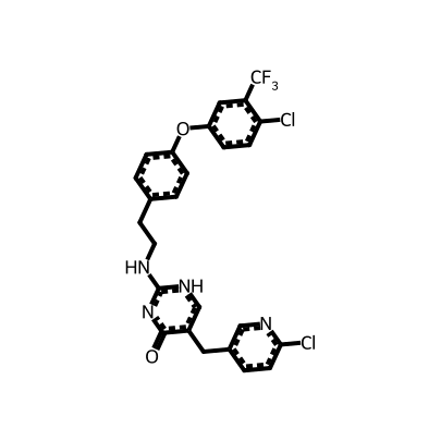 O=c1nc(NCCc2ccc(Oc3ccc(Cl)c(C(F)(F)F)c3)cc2)[nH]cc1Cc1ccc(Cl)nc1